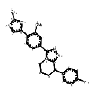 COc1cc(-c2nnc3n2CCCC3c2ccc(F)cc2)ccc1-c1cnc(C)o1